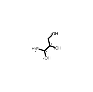 OCC(O)C(O)P